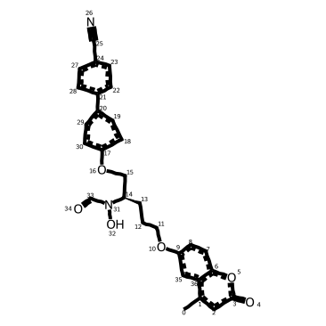 Cc1cc(=O)oc2ccc(OCCC[C@H](COc3ccc(-c4ccc(C#N)cc4)cc3)N(O)C=O)cc12